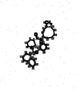 C=C1/C=C\C(NC(=O)[C@H]2CCCN(C(=O)c3cccc4ccccc34)[C@H]2c2ccccc2)=C/CCCC1